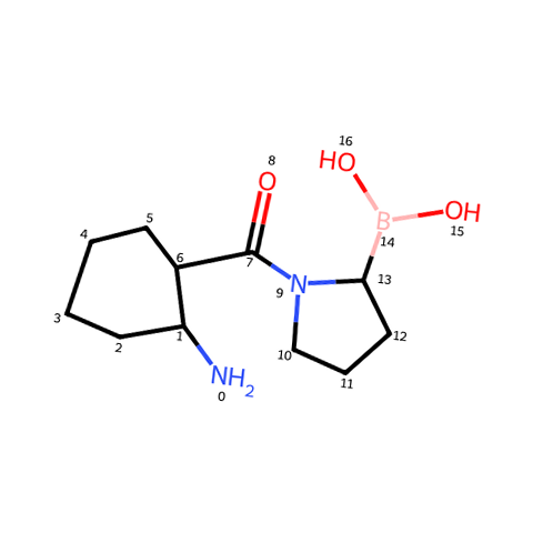 NC1CCCCC1C(=O)N1CCCC1B(O)O